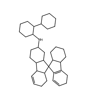 C1=CC2=C(CC1)C1CCCCC1C21C2CCC=CC2C2CCC(NC3CCCCC3C3CCCCC3)CC21